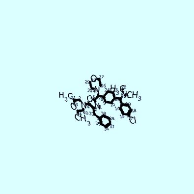 CC1CN(c2oc(C(C3CCC(C(c4ccc(Cl)cc4)N(C)C)CC3)N3CCOCC3)nc2Cc2ccccc2)CC(C)O1